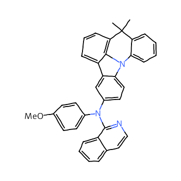 COc1ccc(N(c2ccc3c(c2)c2cccc4c2n3-c2ccccc2C4(C)C)c2nccc3ccccc23)cc1